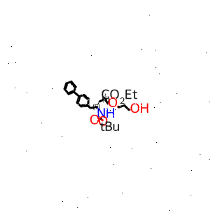 CCOC(=O)[C@H](COCCCO)C[C@@H](Cc1ccc(-c2ccccc2)cc1)NC(=O)OC(C)(C)C